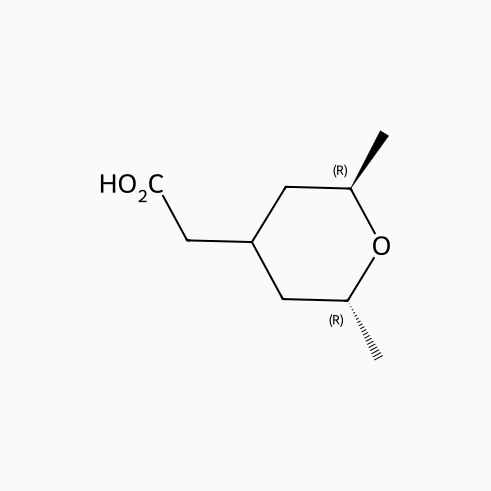 C[C@@H]1CC(CC(=O)O)C[C@@H](C)O1